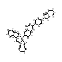 c1ccc2c(c1)oc1c(-c3ccc4cc(-c5ccc(-c6cn7ccccc7n6)cc5)ccc4c3)c3oc4ccccc4c3cc12